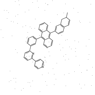 CC1C=Cc2ccc(-c3c4ccccc4c(-c4cccc(-c5cccc(-c6ccncc6)n5)c4)c4ccccc34)cc2C1